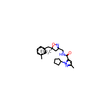 CCOC(=O)C1(Cc2cccc(C)c2)CC(CNC(=O)c2cc(C)nn2C2CCCC2)=NO1